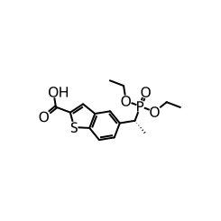 CCOP(=O)(OCC)[C@H](C)c1ccc2sc(C(=O)O)cc2c1